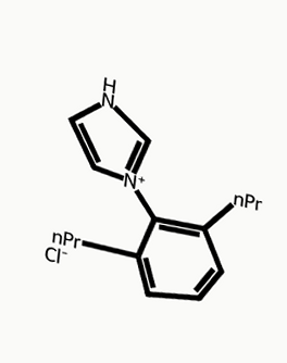 CCCc1cccc(CCC)c1-[n+]1cc[nH]c1.[Cl-]